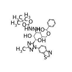 Cc1nc([C@@H]2O[C@@H]3COC(c4ccccc4)O[C@@H]3[C@H](NNC(=O)OC(C)(C)C)[C@H]2O)n(-c2ccc3ncsc3c2)n1